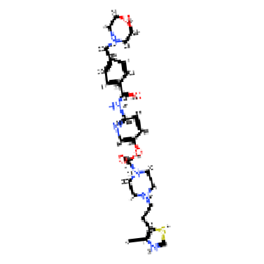 Cc1ncsc1CCN1CCN(C(=O)Oc2ccc(NC(=O)c3ccc(CN4CCOCC4)cc3)nc2)CC1